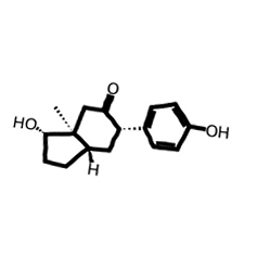 C[C@]12CC(=O)[C@H](c3ccc(O)cc3)C[C@@H]1CC[C@@H]2O